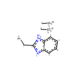 CC(C)Cc1nc2ccccc2[nH]1.CS(=O)(=O)O.CS(=O)(=O)O